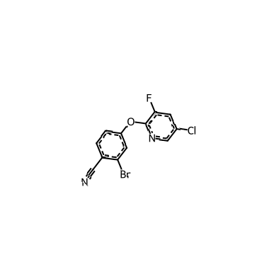 N#Cc1ccc(Oc2ncc(Cl)cc2F)cc1Br